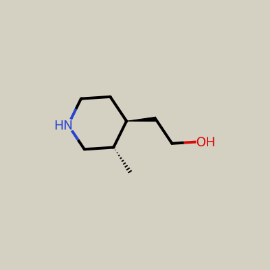 C[C@@H]1CNCC[C@H]1CCO